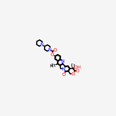 CCc1c2c(nc3ccc(OC(=O)N4CCC(N5CCCCC5)CC4)cc13)-c1cc3c(c(=O)n1C2)COC(=O)[C@]3(O)CC.[H+]